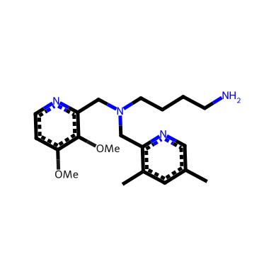 COc1ccnc(CN(CCCCN)Cc2ncc(C)cc2C)c1OC